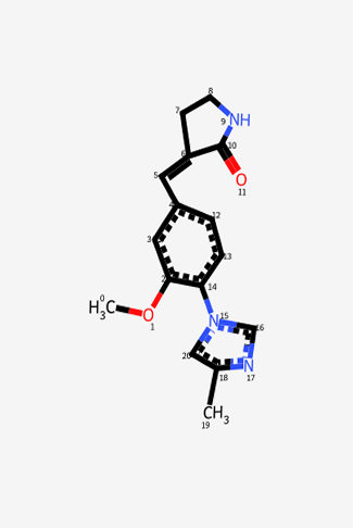 COc1cc(C=C2CCNC2=O)ccc1-n1cnc(C)c1